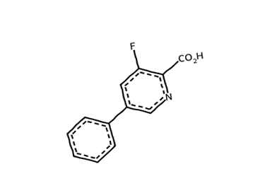 O=C(O)c1ncc(-c2ccccc2)cc1F